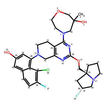 CC1(O)COCCN(c2nc(OC[C@@]34CCCN3C[C@H](F)C4)nc3c2CCN(c2cc(O)cc4ccc(F)c(Cl)c24)C3)C1